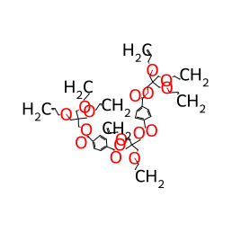 C=CCOCC(COCC=C)(COCC=C)COC(=O)c1ccc(C(=O)OCC(COCC=C)(COCC=C)COC(=O)c2ccc(C(=O)OCC(COCC=C)(COCC=C)COCC=C)cc2)cc1